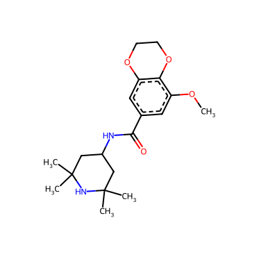 COc1cc(C(=O)NC2CC(C)(C)NC(C)(C)C2)cc2c1OCCO2